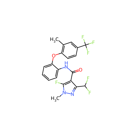 Cc1cc(C(F)(F)F)ccc1Oc1ccccc1NC(=O)c1c(C(F)F)nn(C)c1F